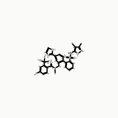 Cc1noc(NS(=O)(=O)c2ccccc2-c2ccc(-c3ncco3)cc2CN(C)C(=O)c2ccc(F)cc2C(F)(F)F)c1C